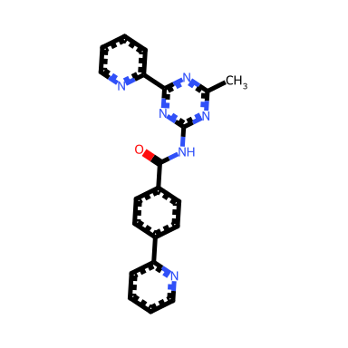 Cc1nc(NC(=O)c2ccc(-c3ccccn3)cc2)nc(-c2ccccn2)n1